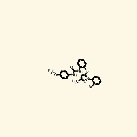 Cc1cc(Oc2ccccc2NC(=O)Nc2ccc(OC(F)(F)F)cc2)n(-c2ccccc2Br)n1